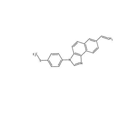 C=Cc1ccc2c(ccc3c2ncn3-c2ccc(SC(F)(F)F)cc2)c1